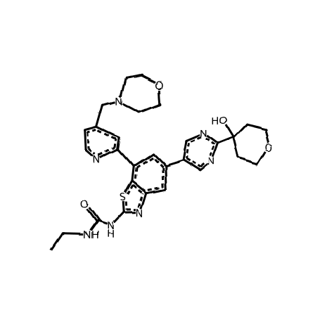 CCNC(=O)Nc1nc2cc(-c3cnc(C4(O)CCOCC4)nc3)cc(-c3cc(CN4CCOCC4)ccn3)c2s1